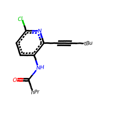 CCCC(=O)Nc1ccc(Cl)nc1C#CC(C)(C)C